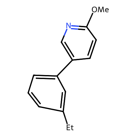 CCc1cccc(-c2ccc(OC)nc2)c1